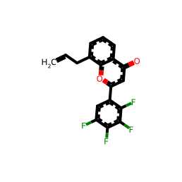 C=CCc1cccc2c(=O)cc(-c3cc(F)c(F)c(F)c3F)oc12